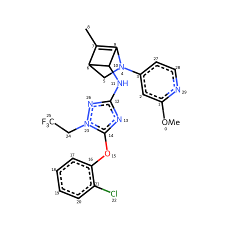 COc1cc(N2CC3C(C)=C2C3Nc2nc(Oc3ccccc3Cl)n(CC(F)(F)F)n2)ccn1